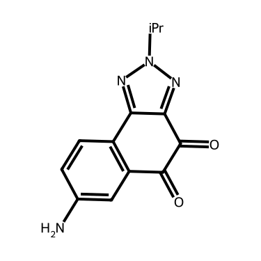 CC(C)n1nc2c(n1)-c1ccc(N)cc1C(=O)C2=O